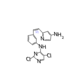 Nc1ccnc(/C=C\c2cccc(Nc3nc(Cl)ncc3Cl)c2)c1